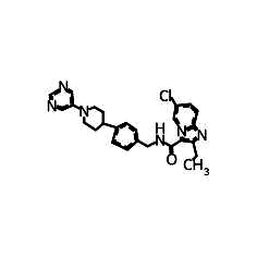 CCc1nc2ccc(Cl)cn2c1C(=O)NCc1ccc(C2CCN(c3cncnc3)CC2)cc1